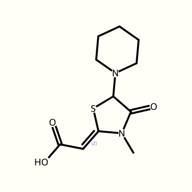 CN1C(=O)C(N2CCCCC2)S/C1=C\C(=O)O